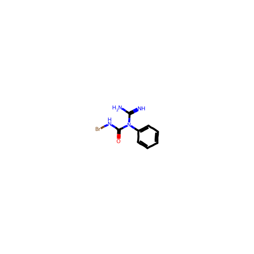 N=C(N)N(C(=O)NBr)c1ccccc1